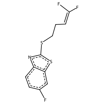 FC(F)=CCCSc1nc2ccc(F)cc2s1